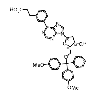 COc1ccc(C(OC[C@H]2O[C@@H](n3cnc4c(-c5cccc(CCC(=O)O)c5)ncnc43)C[C@@H]2O)(c2ccccc2)c2ccc(OC)cc2)cc1